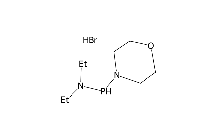 Br.CCN(CC)PN1CCOCC1